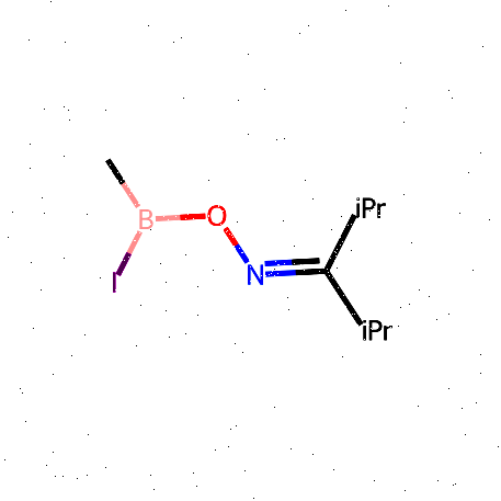 CB(I)ON=C(C(C)C)C(C)C